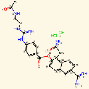 CC(=O)NCCNC(=N)Nc1ccc(C(=O)Oc2ccc3cc(C(=N)N)ccc3c2CC(N)=O)cc1.Cl.Cl